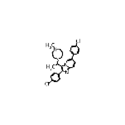 CC(c1c(-c2ccc(Cl)cc2)nc2ccc(-c3ccc(Cl)cc3)cn12)N1CCCN(C)CC1